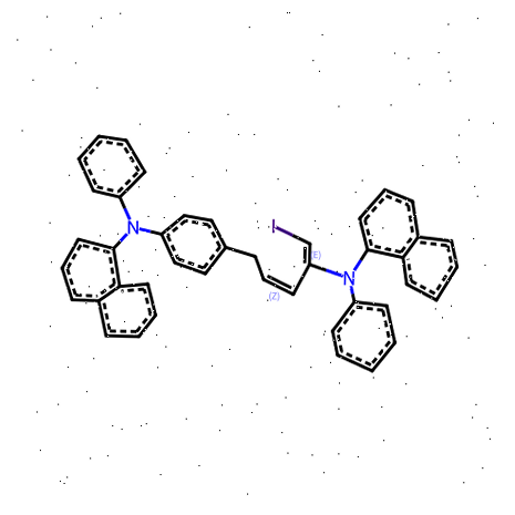 I/C=C(\C=C/Cc1ccc(N(c2ccccc2)c2cccc3ccccc23)cc1)N(c1ccccc1)c1cccc2ccccc12